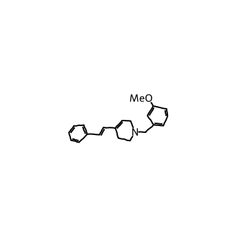 COc1cccc(CN2CC=C(/C=C/c3ccccc3)CC2)c1